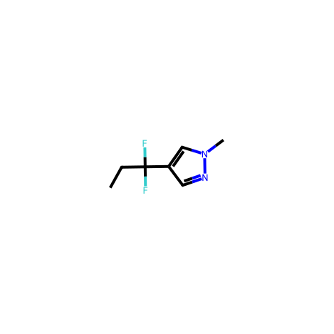 CCC(F)(F)c1cnn(C)c1